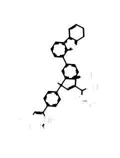 C=C/C(=C\C(C)(c1ccc(/C(=C/C)NN)cc1)c1cccc(-c2cccc3c4c(oc23)CCC=C4)c1)C(C)NN